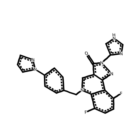 O=c1c2cn(Cc3ccc(-n4cccn4)cc3)c3c(F)ccc(F)c3c-2nn1-c1c[nH]cn1